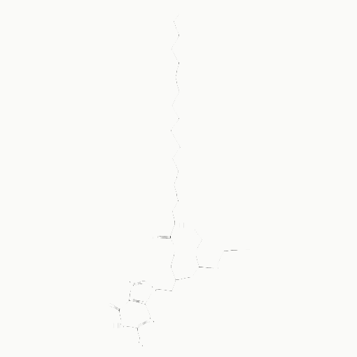 CCCCCCCCCCCCCCCCCC(=O)OCC(CC(OCC)OCC)Cn1cnc2c(=O)[nH]c(N)nc21